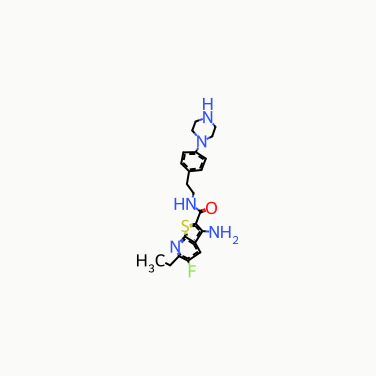 CCc1nc2sc(C(=O)NCCc3ccc(N4CCNCC4)cc3)c(N)c2cc1F